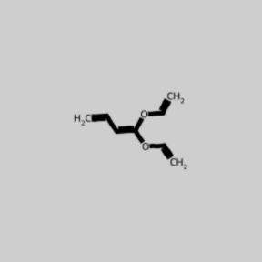 C=CC=C(OC=C)OC=C